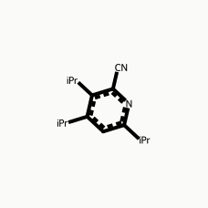 CC(C)c1cc(C(C)C)c(C(C)C)c(C#N)n1